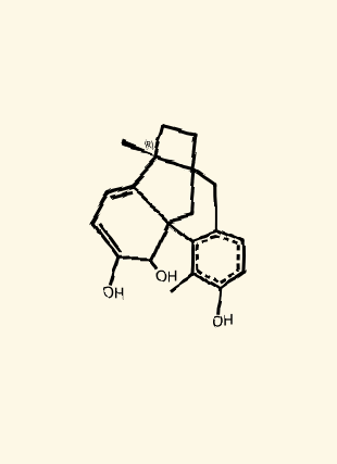 Cc1c(O)ccc2c1C13CC4(CC[C@@]4(C)C1=CC=C(O)C3O)C2